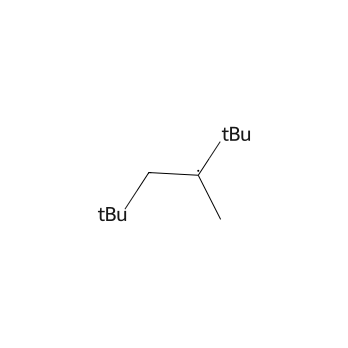 C[C](CC(C)(C)C)C(C)(C)C